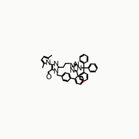 CCCc1nc(-n2c(C)ccc2C)c(C=O)n1Cc1ccc(-c2ccccc2-c2nnnn2C(c2ccccc2)(c2ccccc2)c2ccccc2)cc1